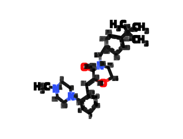 CN1CCN(c2ccccc2C=C2OCCN(Cc3ccc(C(C)(C)C)cc3)C2=O)CC1